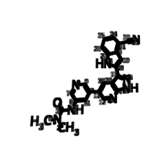 CN(C)C(=O)Nc1cncc(-c2cnc3[nH]nc(-c4cc5c(C#N)cccc5[nH]4)c3c2)c1